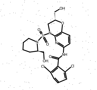 O=C(Nc1ccc2c(n1)N(S(=O)(=O)N1CCCC[C@@H]1CO)C[C@H](CO)O2)c1c(Cl)cccc1Cl